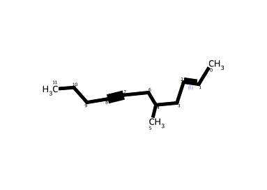 C/C=C/CC(C)CC#CCCC